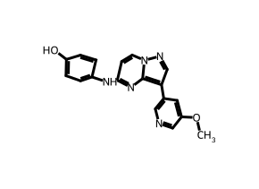 COc1cncc(-c2cnn3ccc(Nc4ccc(O)cc4)nc23)c1